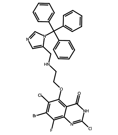 O=c1[nH]c(Cl)nc2c(F)c(Br)c(Cl)c(OCCNCc3cncn3C(c3ccccc3)(c3ccccc3)c3ccccc3)c12